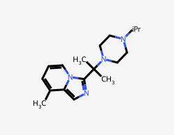 Cc1cccn2c(C(C)(C)N3CCN(C(C)C)CC3)ncc12